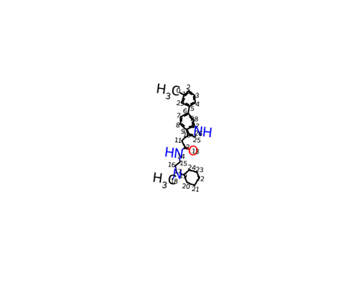 Cc1cccc(-c2ccc3c(CC(=O)NCCN(C)C4CCCCC4)c[nH]c3c2)c1